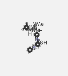 CNc1nc(Nc2ccc(/N=C/c3cc(/N=N/c4ccccc4)ccc3O)cc2)nc(Nc2cc(C)cc(C)c2)n1